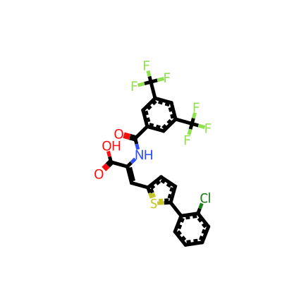 O=C(O)/C(=C/c1ccc(-c2ccccc2Cl)s1)NC(=O)c1cc(C(F)(F)F)cc(C(F)(F)F)c1